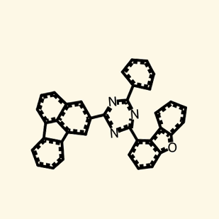 c1ccc(-c2nc(-c3cc4c5c(cccc5c3)-c3ccccc3-4)nc(-c3cccc4oc5ccccc5c34)n2)cc1